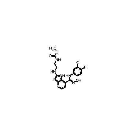 COC(=O)NCCNc1nc2nccc(/C(=N/O)Nc3ccc(F)c(Cl)c3)c2[nH]1